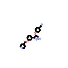 N#Cc1ccc(Oc2c[nH]nc2-c2cccc(OCc3ccncc3)c2)cc1